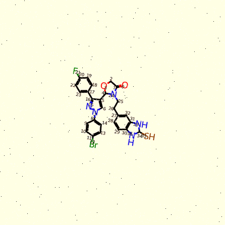 O=C1COC(c2cn(-c3ccc(Br)cc3)nc2-c2ccc(F)cc2)N1CCc1ccc2c(c1)NC(S)N2